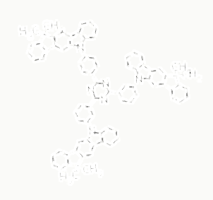 CC1(C)c2ccccc2-c2cc3c(cc21)c1ccccc1n3-c1ccc(-c2nc(-c3cccc(-n4c5ccccc5c5cc6c(cc54)-c4ccccc4C6(C)C)c3)nc(-c3cccc(-n4c5ccccc5c5cc6c(cc54)-c4ccccc4C6(C)C)c3)n2)cc1